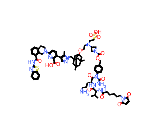 Cc1c(-c2ccc(N3CCc4cccc(C(=O)Nc5nc6ccccc6s5)c4C3)nc2C(=O)O)cnn1CC12CC3(C)CC(C)(C1)CC(OCCN(CCS(=O)(=O)O)C1CN(C(=O)OCc4ccc(N(C(N)=O)C(=O)[C@H](CCCN)NC(=O)[C@@H](NC(=O)CCCCCN5C(=O)C=CC5=O)C(C)C)cc4)C1)(C3)C2